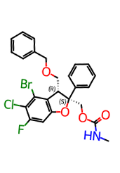 CNC(=O)OC[C@]1(c2ccccc2)Oc2cc(F)c(Cl)c(Br)c2[C@@H]1COCc1ccccc1